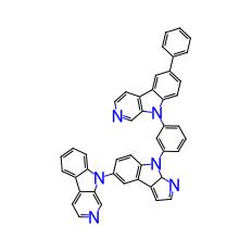 C1=NC2C(=C1)c1cc(-n3c4ccccc4c4ccncc43)ccc1N2c1cccc(-n2c3ccc(-c4ccccc4)cc3c3ccncc32)c1